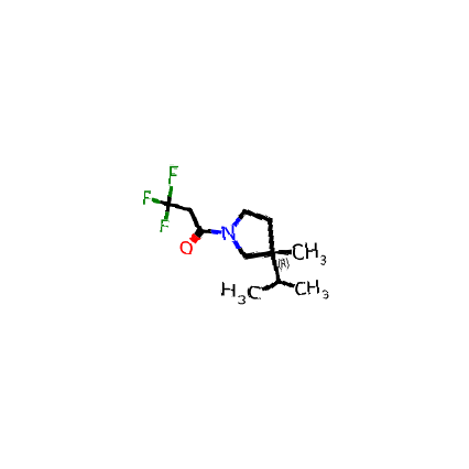 CC(C)[C@@]1(C)CCN(C(=O)CC(F)(F)F)C1